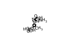 CC1=C[C@H](n2cnc3c(=O)[nH]c(N)nc32)C[C@@H]1OCP(=O)(O)O